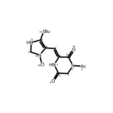 CC(=O)N1CC(=O)NC(=CC2=C(C(C)(C)C)NCN2Cl)C1=O